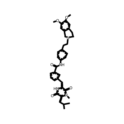 COc1cc2c(cc1OC)CN(CCc1ccc(NC(=O)c3cccc(/C=c4\[nH]c(=O)/c(=C/C(C)C)n(C)c4=O)c3)cc1)CC2